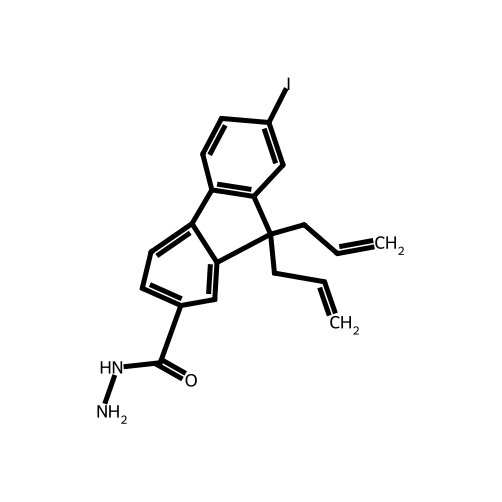 C=CCC1(CC=C)c2cc(I)ccc2-c2ccc(C(=O)NN)cc21